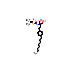 CCCCCCCCc1ccc(CCC(CO)(CO)NC(=O)OC(C)(C)C)cc1